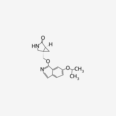 CC(C)Oc1ccc2ccnc(OC[C@]34CNC(=O)[C@H]3C4)c2c1